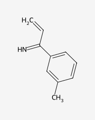 C=CC(=N)c1cccc(C)c1